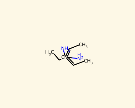 C[CH]=[Cr]([NH2])([NH2])(=[CH]C)=[CH]C